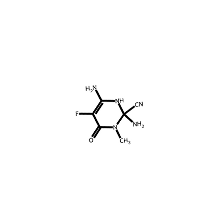 CN1C(=O)C(F)=C(N)NC1(N)C#N